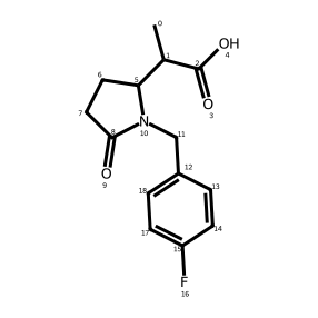 CC(C(=O)O)C1CCC(=O)N1Cc1ccc(F)cc1